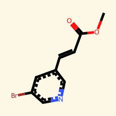 COC(=O)C=Cc1cncc(Br)c1